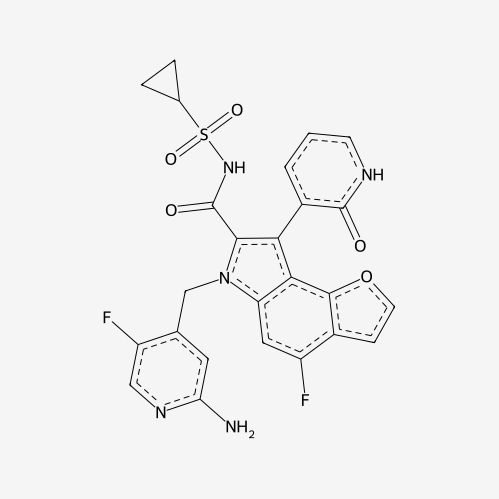 Nc1cc(Cn2c(C(=O)NS(=O)(=O)C3CC3)c(-c3ccc[nH]c3=O)c3c4occc4c(F)cc32)c(F)cn1